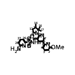 COc1cccc(-c2cnc(N3CCC(C)C3(C)C)c(C(=O)NS(=O)(=O)c3cccc(N)n3)c2)n1